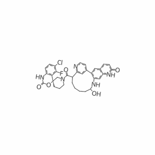 O=C1Nc2ccc(Cl)c(F)c2[C@@]2(CCCN(C(=O)C3CCCCC(O)Nc4cc5[nH]c(=O)ccc5cc4-c4ccnc3c4)C2)O1